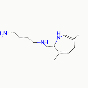 CC1=CNC(CNCCCCN)C(C)=CC1